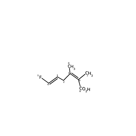 CC(CC=CF)=C(C)C(=O)O